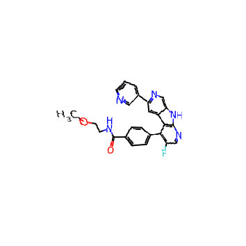 COCCNC(=O)c1ccc(-c2c(F)cnc3[nH]c4cnc(-c5cccnc5)cc4c23)cc1